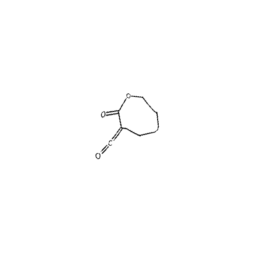 O=C=C1CCCCOC1=O